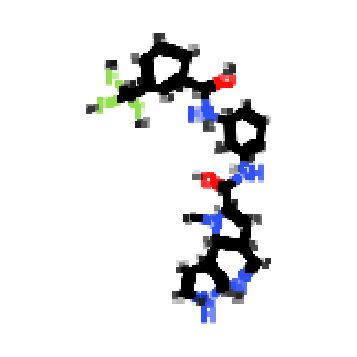 Cn1c(C(=O)Nc2cccc(NC(=O)c3cccc(C(F)(F)F)c3)c2)cc2cnc3[nH]ccc3c21